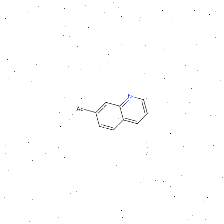 CC(=O)c1ccc2cccnc2c1